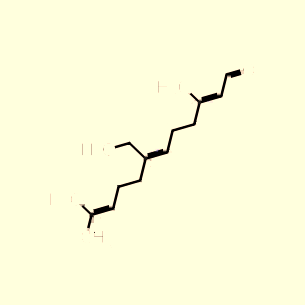 CC/C(=C\CC/C(C)=C/C=O)CCC=C(C)C